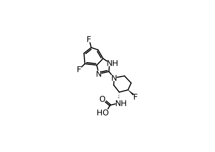 O=C(O)N[C@@H]1CN(c2nc3c(F)cc(F)cc3[nH]2)CC[C@H]1F